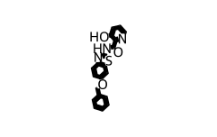 O=C(Nc1nc2ccc(OCc3ccccc3)cc2s1)c1ncccc1O